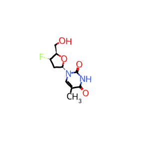 Cc1cn([C@@H]2C[C@H](F)[C@@H](CO)O2)c(=O)[nH]c1=O